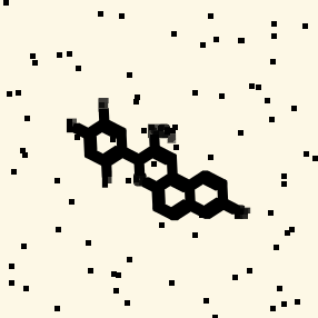 O=[N+]([O-])C1=Cc2c(ccc3cc(Br)ccc23)OC1c1cc(F)c(F)cc1F